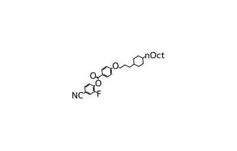 CCCCCCCCC1CCC(CCCOc2ccc(C(=O)Oc3ccc(C#N)cc3F)cc2)CC1